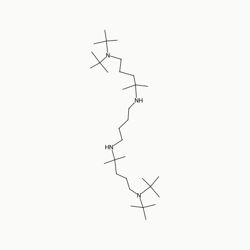 CC(C)(CCCN(C(C)(C)C)C(C)(C)C)NCCCCNC(C)(C)CCCN(C(C)(C)C)C(C)(C)C